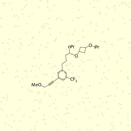 CCCC(CCCc1cc(C#CCOC)cc(C(F)(F)F)c1)OC1CC(OC(C)C)C1